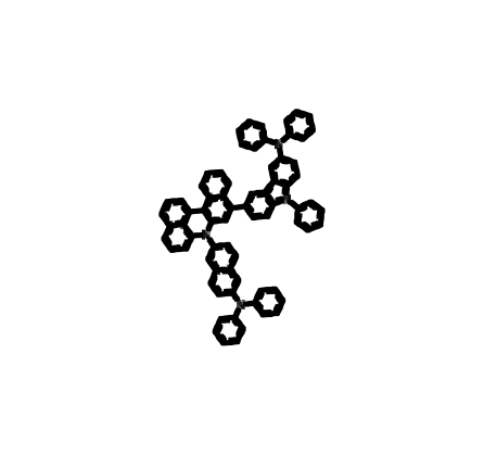 c1ccc(N(c2ccccc2)c2ccc3cc(N4c5cc(-c6ccc7c(c6)c6cc(N(c8ccccc8)c8ccccc8)ccc6n7-c6ccccc6)c6ccccc6c5-c5cccc6cccc4c56)ccc3c2)cc1